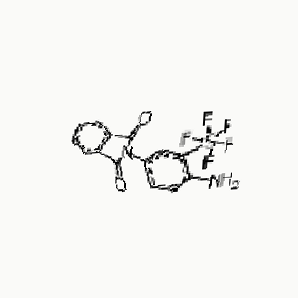 Nc1ccc(N2C(=O)c3ccccc3C2=O)cc1S(F)(F)(F)(F)F